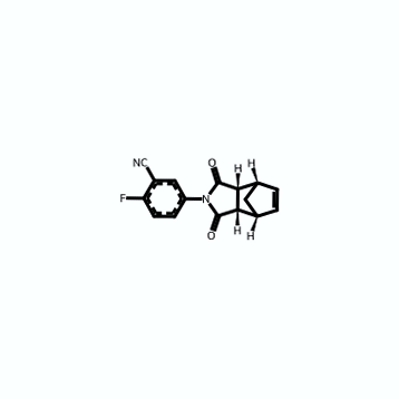 N#Cc1cc(N2C(=O)[C@@H]3[C@H](C2=O)[C@@H]2C=C[C@H]3C2)ccc1F